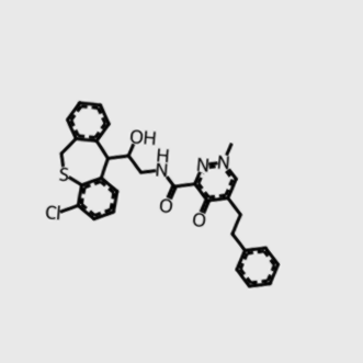 Cn1cc(CCc2ccccc2)c(=O)c(C(=O)NCC(O)C2c3ccccc3CSc3c(Cl)cccc32)n1